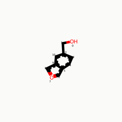 OCc1ccc2cocc2c1